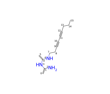 C=C(N)NC(=C)NCCC#CC#CCCC